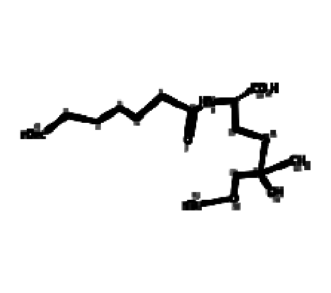 CCCCCCCCCCCCCCCC(=O)N[C@@H](CSC(C)(O)COCCCC)C(=O)O